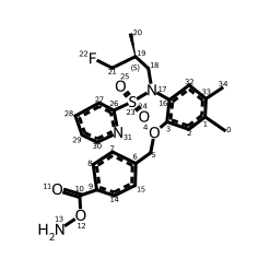 Cc1cc(OCc2ccc(C(=O)ON)cc2)c(N(C[C@H](C)CF)S(=O)(=O)c2ccccn2)cc1C